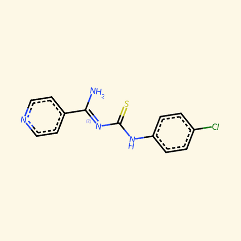 N/C(=N\C(=S)Nc1ccc(Cl)cc1)c1ccncc1